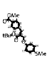 COC(=O)c1ccc(C=C(COc2ccc(SC)cc2)C(=O)OC(C)(C)C)cc1